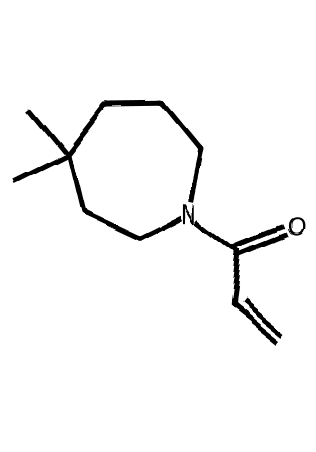 C=CC(=O)N1CCCC(C)(C)CC1